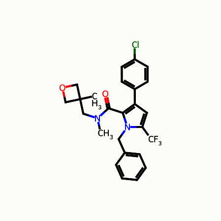 CN(CC1(C)COC1)C(=O)c1c(-c2ccc(Cl)cc2)cc(C(F)(F)F)n1Cc1ccccc1